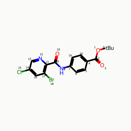 CC(C)(C)OC(=O)c1ccc(NC(=O)c2ncc(Cl)cc2Br)cc1